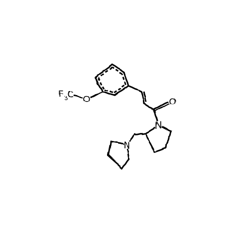 O=C(C=Cc1cccc(OC(F)(F)F)c1)N1CCCC1CN1CCCC1